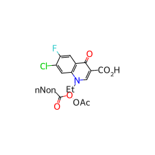 CCCCCCCCCC(=O)OOC(C)=O.CCn1cc(C(=O)O)c(=O)c2cc(F)c(Cl)cc21